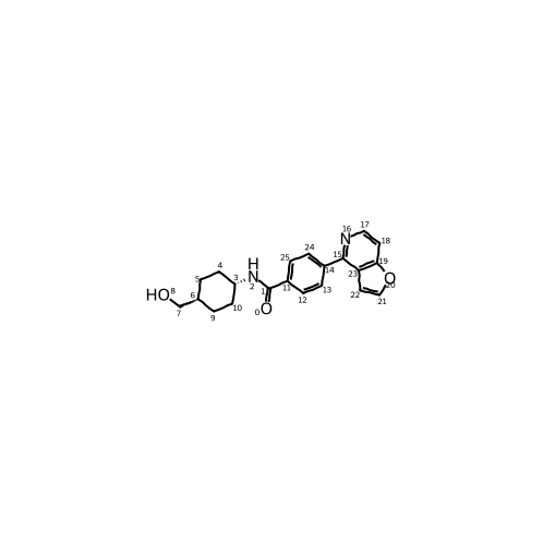 O=C(N[C@H]1CC[C@H](CO)CC1)c1ccc(-c2nccc3occc23)cc1